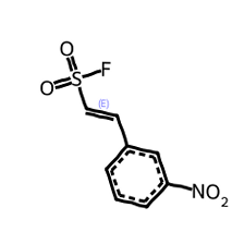 O=[N+]([O-])c1cccc(/C=C/S(=O)(=O)F)c1